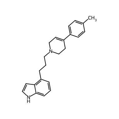 Cc1ccc(C2=CCN(CCCc3cccc4[nH]ccc34)CC2)cc1